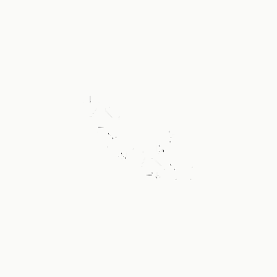 O=C1CC2CCCN2c2ncc(CN3CCN(c4ccc(Cl)cc4)CC3)cc2N1